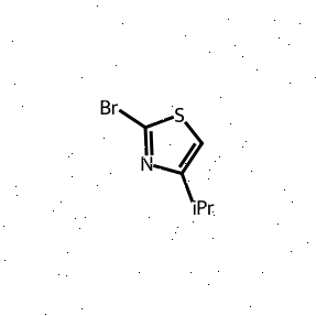 [CH2]C(C)c1csc(Br)n1